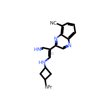 CCCC1CC(N/C=C(\C=N)c2cnc3cccc(C#N)c3n2)C1